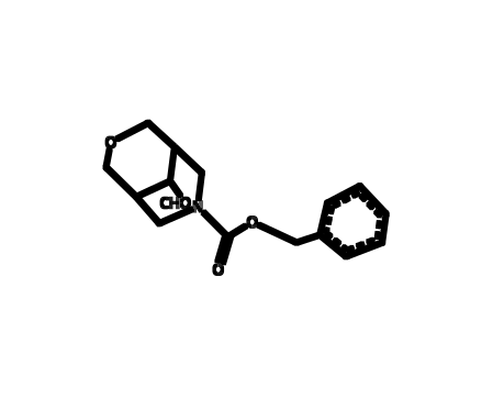 O=CC1C2COCC1CN(C(=O)OCc1ccccc1)C2